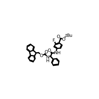 CC(C)(C)OC(=O)c1ccc(NC(=O)[C@@H](NC(=O)OCC2c3ccccc3-c3ccccc32)c2ccccc2)cc1F